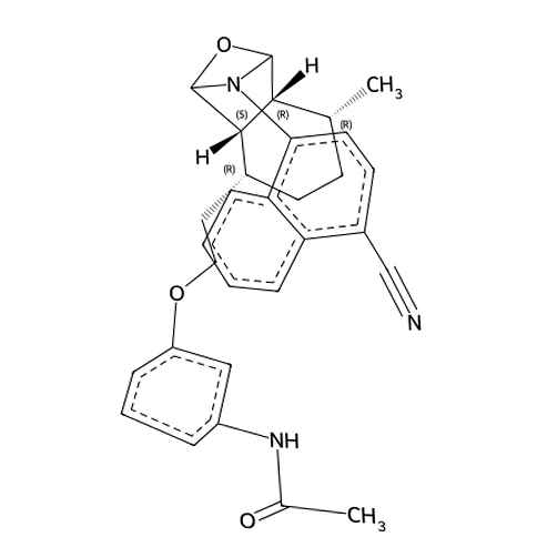 CC(=O)Nc1cccc(OCC[C@H]2CC[C@@H](C)[C@H]3C4OC([C@@H]23)N4c2ccc(C#N)c3ccccc23)c1